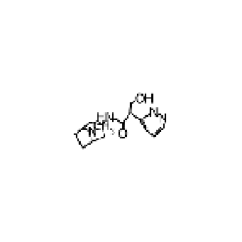 CN1C2CCC1CC(NC(=O)C(CO)c1cccnn1)C2